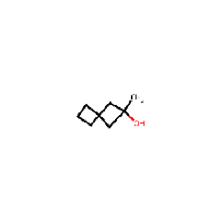 CC1(O)CC2(CCC2)C1